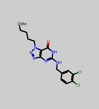 COCCCCn1nnc2nc(NCc3ccc(Cl)c(Cl)c3)[nH]c(=O)c21